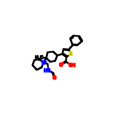 CC1([N+]2(CNC=O)CCCCC2)CCC(c2cc(-c3ccccc3)sc2C(=O)O)CC1